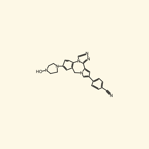 N#Cc1ccc(-c2cc3n(c2)Cc2cc(N4CCN(O)CC4)ccc2-n2cnnc2-3)cc1